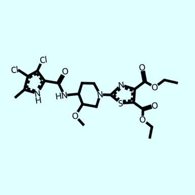 CCOC(=O)c1nc(N2CCC(NC(=O)c3[nH]c(C)c(Cl)c3Cl)C(OC)C2)sc1C(=O)OCC